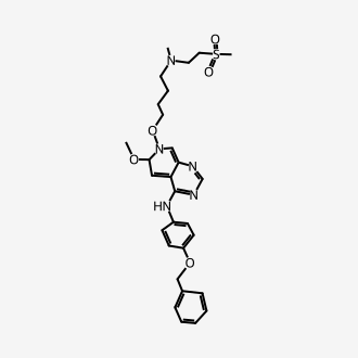 COC1C=c2c(Nc3ccc(OCc4ccccc4)cc3)ncnc2=CN1OCCCCN(C)CCS(C)(=O)=O